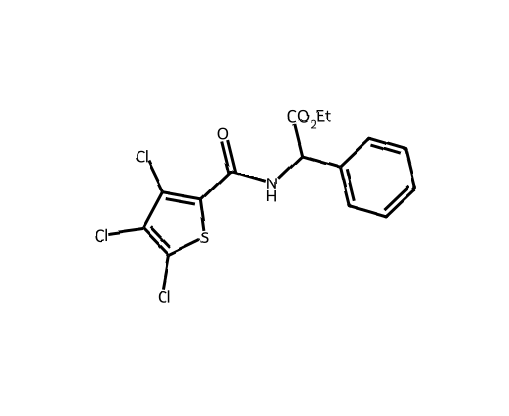 CCOC(=O)C(NC(=O)c1sc(Cl)c(Cl)c1Cl)c1ccccc1